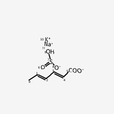 CC=CC=CC(=O)[O-].O=S([O-])O.[K+].[Na+]